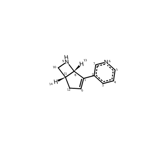 C1=C(c2cccnc2)[C@H]2NC[C@H]2C1